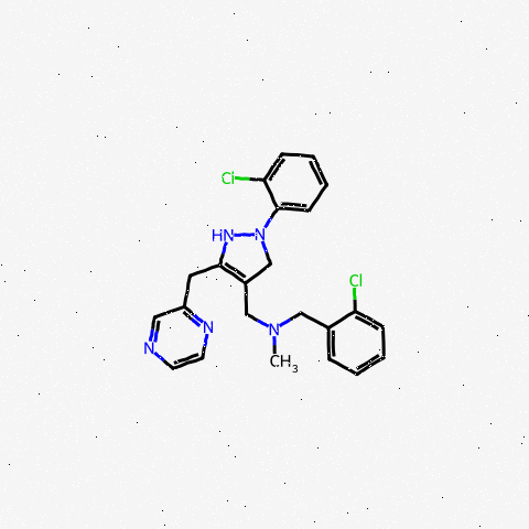 CN(CC1=C(Cc2cnccn2)NN(c2ccccc2Cl)C1)Cc1ccccc1Cl